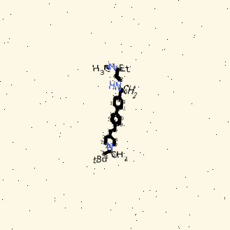 C=C(NCC/C(CC)=N\C)C1CC=C(c2ccc(CCC3CCN(C(=C)CC(C)(C)C)CC3)cc2)CC1